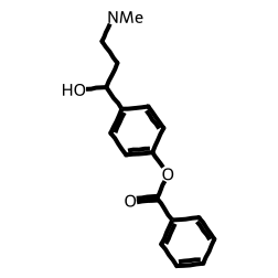 CNCCC(O)c1ccc(OC(=O)c2ccccc2)cc1